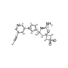 CC#Cc1cncc(-n2ccc(C3(C)CC4(CS(=O)(=O)C4)OC(N)=N3)c2)c1